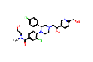 CN(CCO)C(=O)c1ccc(N2CCN(C[C@@H](O)c3ccc(CO)nc3)C[C@H]2c2ccc(Cl)cc2)c(Cl)c1